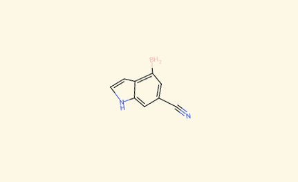 Bc1cc(C#N)cc2[nH]ccc12